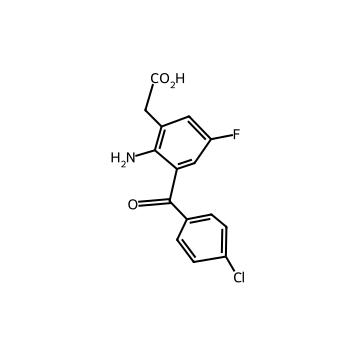 Nc1c(CC(=O)O)cc(F)cc1C(=O)c1ccc(Cl)cc1